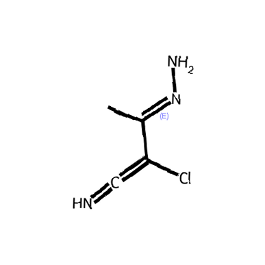 C/C(=N\N)C(Cl)=C=N